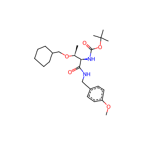 COc1ccc(CNC(=O)[C@H](NC(=O)OC(C)(C)C)[C@H](C)OCC2CCCCC2)cc1